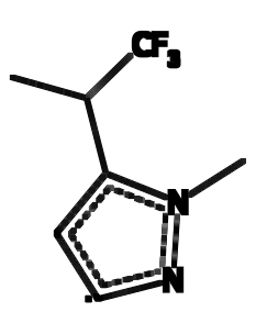 CC(c1c[c]nn1C)C(F)(F)F